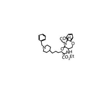 CCOC(=O)[C@H](CCCCC1CCN(Cc2ccccc2)CC1)NC1COc2ccccc2N(CC(=O)O)C1=O